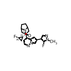 Cn1ncc(-c2cc3c(N4CC5CCC(C4)N5C(=O)[C@@H]4C[C@H]4F)ccnn3c2)c1F